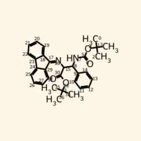 CC(C)(C)OC(=O)NC(c1ccccc1)C(N=C1c2ccccc2-c2ccccc21)C(=O)OC(C)(C)C